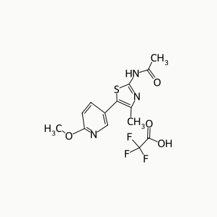 COc1ccc(-c2sc(NC(C)=O)nc2C)cn1.O=C(O)C(F)(F)F